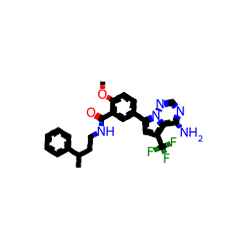 COc1ccc(-c2cc(C(F)(F)F)c3c(N)ncnn23)cc1C(=O)NCCC(C)c1ccccc1